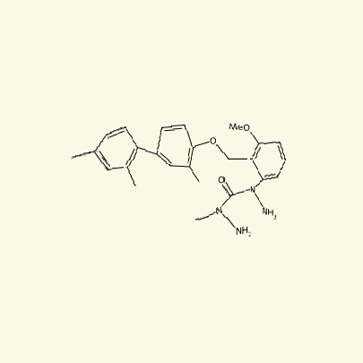 COc1cccc(N(N)C(=O)N(C)N)c1COc1ccc(-c2ccc(C)cc2C)cc1C